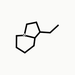 CCC1CCN2CCCCC12